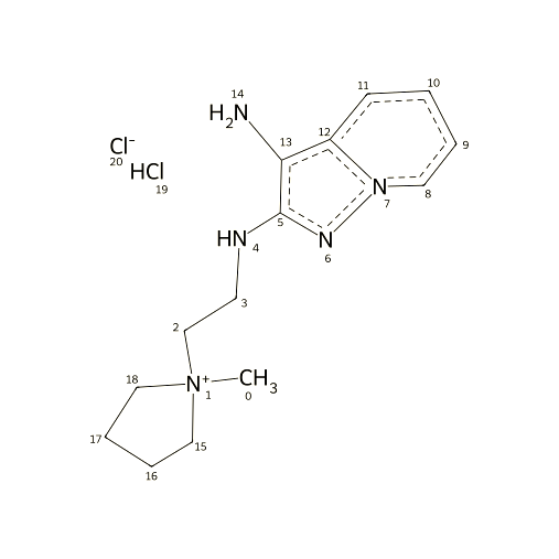 C[N+]1(CCNc2nn3ccccc3c2N)CCCC1.Cl.[Cl-]